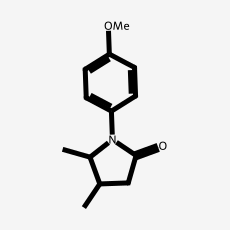 COc1ccc(N2C(=O)CC(C)C2C)cc1